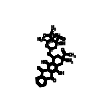 CC(=O)C1(N)Cc2c(O)c3c(c(O)c2C(O[C@H]2C[C@](O)(C(C)=O)[C@](O)(C(C)=O)[C@@H](C)O2)C1)C(=O)c1ccccc1C3=O